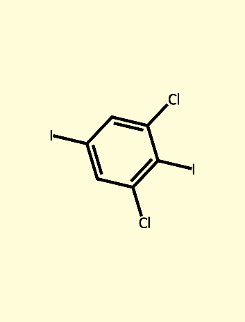 Clc1cc(I)cc(Cl)c1I